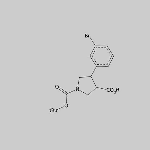 CC(C)(C)OC(=O)N1CC(C(=O)O)C(c2cccc(Br)c2)C1